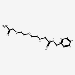 NC(=O)COCCOCCOCC(=O)OCc1ccccc1